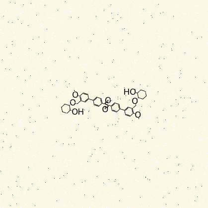 COc1ccc(-c2ccc(S(=O)(=O)c3ccc(-c4ccc(OC)c(COC5CCCCC5O)c4)cc3)cc2)cc1COC1CCCCC1O